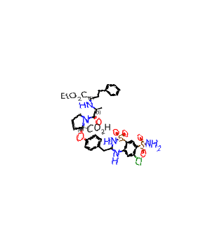 CCOC(=O)[C@H](CCc1ccccc1)N[C@@H](C)C(=O)N1CCC[C@@]1(Oc1ccc(CC2Nc3cc(Cl)c(S(N)(=O)=O)cc3S(=O)(=O)N2)cc1)C(=O)O